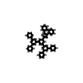 c1ccc(-c2cc(-c3ccccc3)nc(-c3cc(-c4nc(-c5ccccc5)cc(-c5ccccc5)n4)cc(-c4nc5c6ccccc6c6ccccc6c5o4)c3)n2)cc1